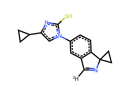 [2H]C1=NC2(CC2)c2ccc(-n3cc(C4CC4)nc3S)cc21